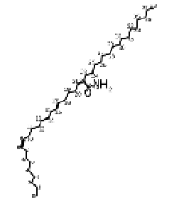 CCCCCCCC/C=C\CCCCCCCCCCCCC(CCCCCCCCCCCCCCCC)C(N)=O